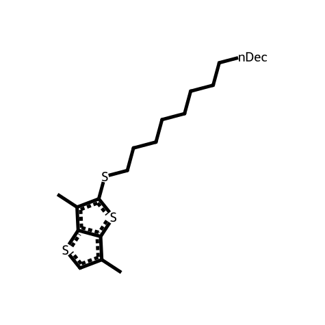 CCCCCCCCCCCCCCCCCCSc1sc2c(C)csc2c1C